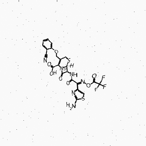 N#Cc1ccccc1OCC1=C(C(=O)O)N2C(=O)C(NC(=O)C(=NOC(=O)C(F)(F)F)c3csc(N)n3)[C@@H]2SC1